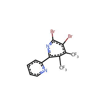 FC(F)(F)c1c(-c2ccccn2)nc(Br)c(Br)c1C(F)(F)F